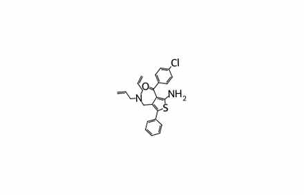 C=CCN(CC=C)Cc1c(-c2ccccc2)sc(N)c1C(=O)c1ccc(Cl)cc1